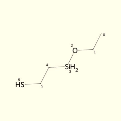 CCO[SiH2]CCS